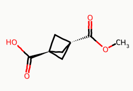 COC(=O)[C@]12C[C@@](C(=O)O)(C1)C2